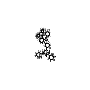 c1ccc(-c2nc(-c3cccc(-c4cccc5c4Sc4ccccc4C54c5ccccc5-c5ccccc54)c3)cc(-c3ccccn3)n2)cc1